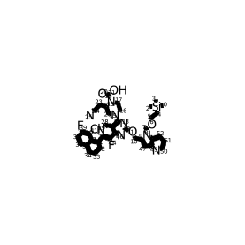 C[Si](C)(C)CCOCn1c(COc2nc(N3CCN(C(=O)O)C(CC#N)C3)c3cnc(-c4cccc5ccc(F)c(Cl)c45)c(F)c3n2)cc2ncccc21